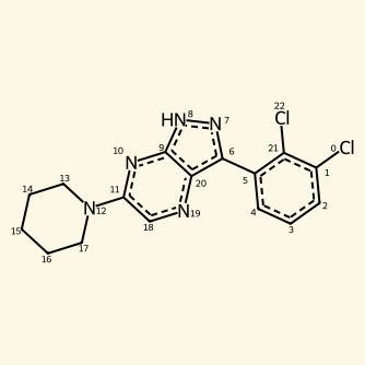 Clc1cccc(-c2n[nH]c3nc(N4CCCCC4)cnc23)c1Cl